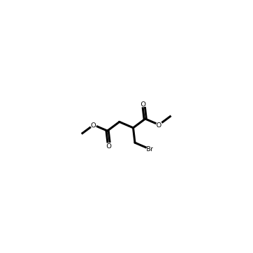 COC(=O)CC(CBr)C(=O)OC